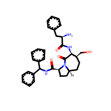 N[C@H](Cc1ccccc1)C(=O)N[C@@H]1C(=O)N2[C@@H](CC[C@@H]1CO)CC[C@H]2C(=O)NC(c1ccccc1)c1ccccc1